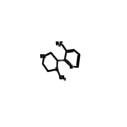 Cc1cccnc1C1CNCCN1C